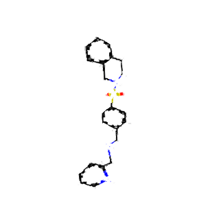 O=S(=O)(c1ccc(CNCc2ccccn2)cc1)N1CCc2ccccc2C1